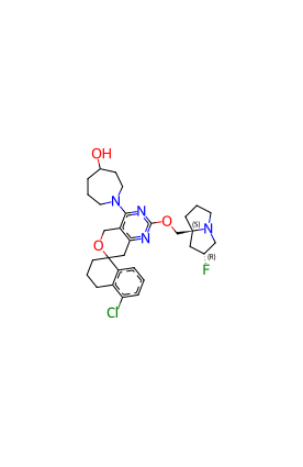 OC1CCCN(c2nc(OC[C@@]34CCCN3C[C@H](F)C4)nc3c2COC2(CCCc4c(Cl)cccc42)C3)CC1